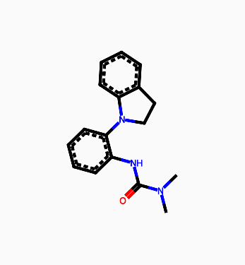 CN(C)C(=O)Nc1ccccc1N1CCc2ccccc21